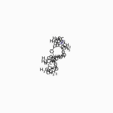 C=C/C(=C(\N=C/C)[C@H](C)OC)c1c2c3cc(ccc3n1CC)-c1cccc(c1)C[C@H](NC(=O)[C@H](C(C)C)N(C)C(=O)[C@H]1CCN(C(=O)C#CC(C)(C)N(C)C)C1)C(=O)N1CCC[C@H](N1)C(=O)OCC(C)(C)C2